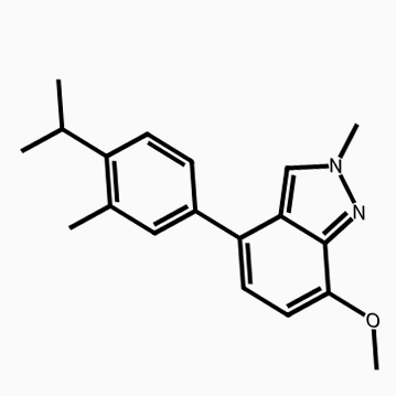 COc1ccc(-c2ccc(C(C)C)c(C)c2)c2cn(C)nc12